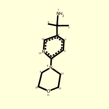 CC(C)(N)c1ccc(N2CCOCC2)nc1